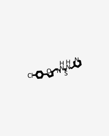 S=C(NCc1cccnc1)NN=Cc1ccc(-c2ccc(Cl)cc2)o1